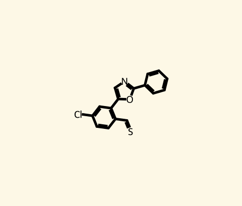 S=Cc1ccc(Cl)cc1-c1cnc(-c2ccccc2)o1